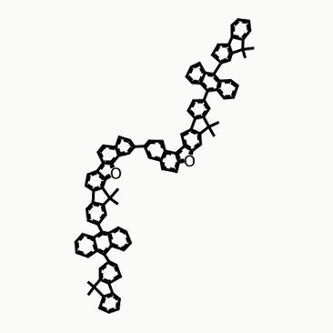 CC1(C)c2ccccc2-c2ccc(-c3c4ccccc4c(-c4ccc5c(c4)C(C)(C)c4cc6oc7ccc8cc(-c9ccc%10ccc%11c%12ccc%13c(c%12oc%11c%10c9)C(C)(C)c9cc(-c%10c%11ccccc%11c(-c%11ccc%12c(c%11)C(C)(C)c%11ccccc%11-%12)c%11ccccc%10%11)ccc9-%13)ccc8c7c6cc4-5)c4ccccc34)cc21